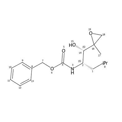 CC(C)C[C@H](NC(=O)OCc1ccccc1)[C@H](O)C1(C)CO1